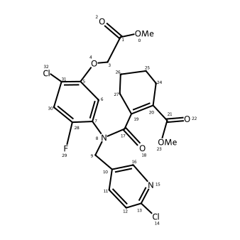 COC(=O)COc1cc(N(Cc2ccc(Cl)nc2)C(=O)C2=C(C(=O)OC)CCCC2)c(F)cc1Cl